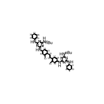 CCCCNc1nc(Nc2ccccc2)nc(Nc2ccc(C=Cc3ccc(Nc4nc(NCCCC)nc(Nc5ccccc5)n4)cc3C)c(C)c2)n1